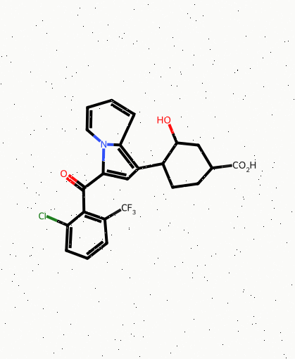 O=C(c1c(Cl)cccc1C(F)(F)F)c1cc(C2CCC(C(=O)O)CC2O)c2ccccn12